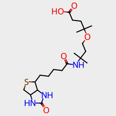 CC(C)(CCOC(C)(C)CCC(=O)O)NC(=O)CCCCC1SCC2NC(=O)NC21